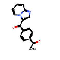 COC(=O)c1ccc(C(=O)c2cnc3ccccn23)cc1